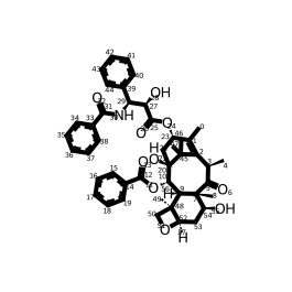 CC1=C2[C@@H](C)C(=O)[C@@]3(C)[C@H]([C@H](OC(=O)c4ccccc4)[C@](O)(C[C@@H]1OC(=O)[C@H](O)[C@@H](NC(=O)c1ccccc1)c1ccccc1)C2(C)C)[C@]1(C)CO[C@@H]1C[C@@H]3O